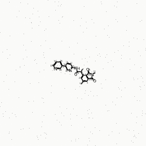 Cc1cc2c(c(C(C)C(=O)Nc3ccc(-c4cccnc4)cn3)c1)C(=O)N(C)C2=O